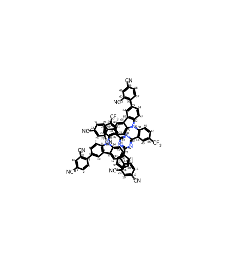 N#Cc1ccc(-c2ccc3c(c2)c2cc(-c4ccc(C#N)cc4C#N)ccc2n3-c2ccc(C(F)(F)F)cc2-c2nc(-c3ccccc3)nc(-c3cc(C(F)(F)F)ccc3-n3c4ccc(-c5ccc(C#N)cc5C#N)cc4c4cc(-c5ccc(C#N)cc5C#N)ccc43)n2)c(C#N)c1